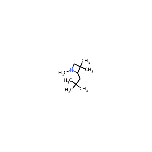 CN1CC(C)(C)C1CC(C)(C)C